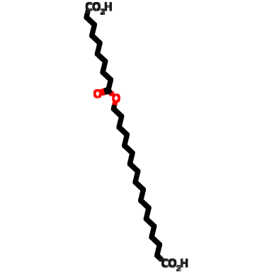 O=C(O)CCCCCCCCCCCCCCCCCOC(=O)CCCCCCCCC(=O)O